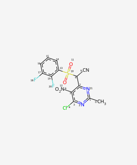 Cc1nc(Cl)c([N+](=O)[O-])c(C(C#N)S(=O)(=O)c2cccc(F)c2F)n1